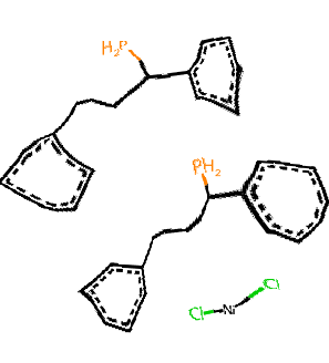 PC(CCc1ccccc1)c1ccccc1.PC(CCc1ccccc1)c1ccccc1.[Cl][Ni][Cl]